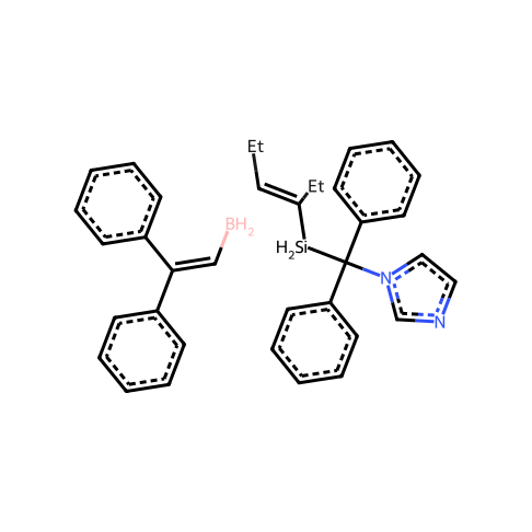 BC=C(c1ccccc1)c1ccccc1.CCC=C(CC)[SiH2]C(c1ccccc1)(c1ccccc1)n1ccnc1